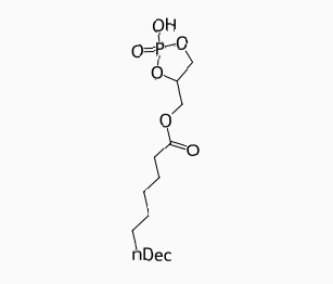 CCCCCCCCCCCCCCCC(=O)OCC1COP(=O)(O)O1